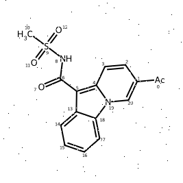 CC(=O)c1ccc2c(C(=O)NS(C)(=O)=O)c3ccccc3n2c1